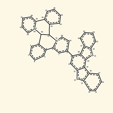 c1ccc2c(c1)-c1cc(-c3cc4sc5ccccc5c4c4sc5ccccc5c34)cc[n+]1C1c3ccccc3-c3cccc[n+]3C21